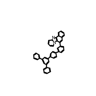 c1ccc(-c2cc(-c3ccccc3)cc(-c3ccc(-c4cccc(-c5cc6ccccc6c6nc7ccccn7c56)c4)cc3)c2)cc1